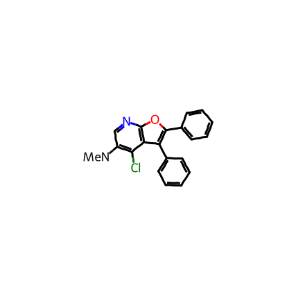 CNc1cnc2oc(-c3ccccc3)c(-c3ccccc3)c2c1Cl